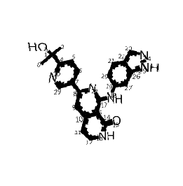 CC(C)(O)c1ccc(-c2cc3cc[nH]c(=O)c3c(Nc3ccc4cn[nH]c4c3)n2)cn1